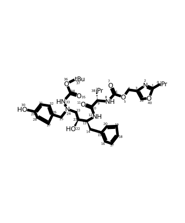 CC(C)c1nc(COC(=O)N[C@H](C(=O)N[C@@H](Cc2ccccc2)[C@@H](O)CN(Cc2ccc(O)cc2)NC(=O)OC(C)(C)C)C(C)C)co1